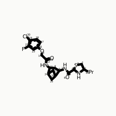 CC(C)C1CSC(C(=O)NC2CC(NC(=O)COc3ccc(Cl)c(F)c3)C3CC2C3)N1